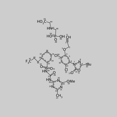 C#CCOc1cc(-n2nc(C(C)(C)C)oc2=O)c(Cl)cc1Cl.COc1nc(C)nc(NC(=O)NS(=O)(=O)c2ccccc2CCC(F)(F)F)n1.O=C(O)CNCP(=O)(O)O